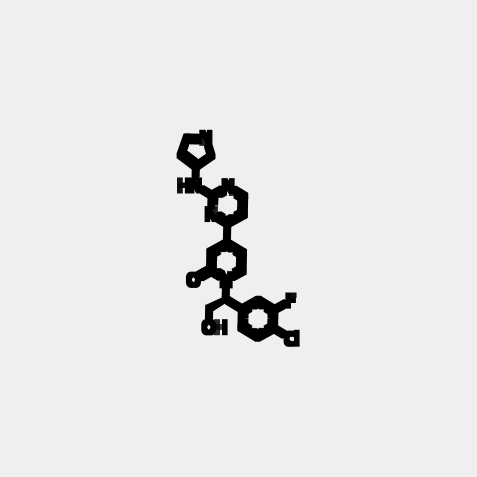 O=c1cc(-c2ccnc(NC3=CC=NC3)n2)ccn1[C@H](CO)c1ccc(Cl)c(F)c1